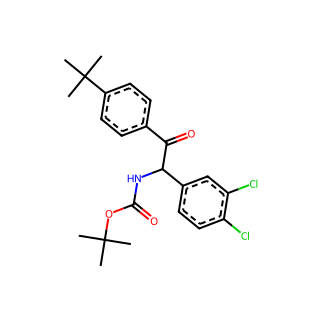 CC(C)(C)OC(=O)NC(C(=O)c1ccc(C(C)(C)C)cc1)c1ccc(Cl)c(Cl)c1